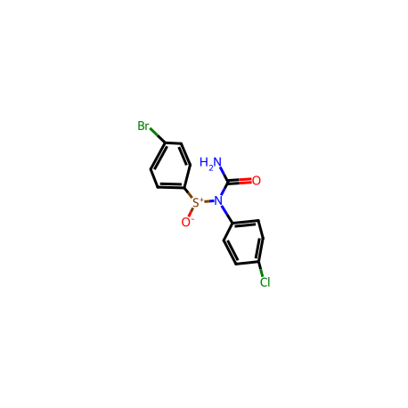 NC(=O)N(c1ccc(Cl)cc1)[S+]([O-])c1ccc(Br)cc1